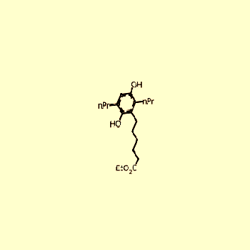 CCCc1cc(O)c(CCC)c(CCCCCC(=O)OCC)c1O